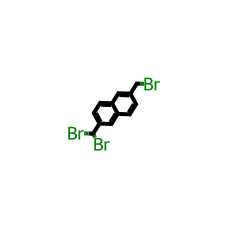 BrCc1ccc2cc(C(Br)Br)ccc2c1